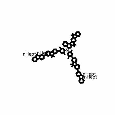 CCCCCCCC1(CCCCCCC)c2ccccc2-c2ccc(-c3ccc4c(c3)C(C)(C)c3cc(-c5cc(C)c(N(c6cc(C)c(-c7ccc8c(c7)C(C)(C)c7cc(-c9ccc%10c(c9)C(CCCCCCC)(CCCCCCC)c9ccccc9-%10)ccc7-8)cc6C)c6cc7c(c8ccccc68)-c6cc8c(cc6C7(C)C)-c6ccccc6C8(C)C)cc5C)ccc3-4)cc21